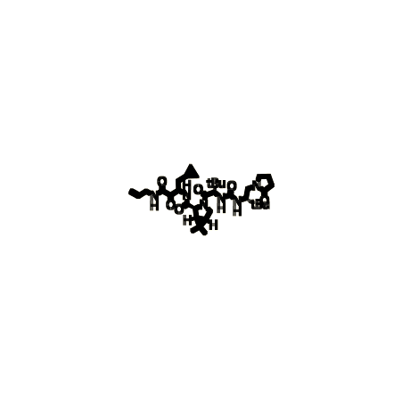 C=CCNC(=O)C(=O)C(CC1CC1)NC(=O)[C@@H]1[C@@H]2[C@H](CN1C(=O)[C@@H](NC(=O)N[C@H](CN1CCCC1=O)C(C)(C)C)C(C)(C)C)C2(C)C